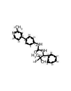 Cc1cc(-c2ccc(NC(=O)NC(c3ccccc3)C(C)(C)F)cc2)ccn1